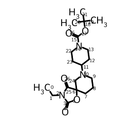 CCN1C(=O)OC2(CCCN(C3CCN(C(=O)OC(C)(C)C)CC3)C2)C1=O